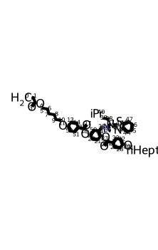 C=CC(=O)OCCCCCCOc1ccc(C(=O)Oc2ccc(OC(=O)c3ccc(OCCCCCCC)cc3)c(/C=N/N(CCC(C)C)c3nc4ccccc4s3)c2)cc1